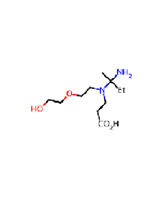 CCC(C)(N)N(CCOCCO)CCC(=O)O